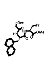 CCCCCCCCCCCC(=O)N[C@@H](Cc1cccc2ccccc12)C(=O)N[C@@H](CC(C)C)C(=O)OC